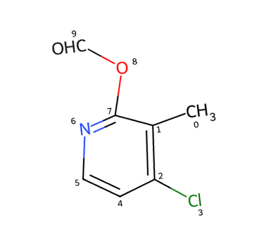 Cc1c(Cl)ccnc1OC=O